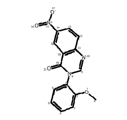 COc1ccccc1-n1cnc2ccc([N+](=O)[O-])cc2c1=O